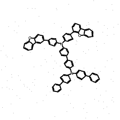 c1ccc(-c2ccc(N(c3ccc(-c4ccccc4)cc3)c3ccc(-c4ccc(N(c5ccc(-c6ccc7oc8ccccc8c7c6)cc5)c5ccc(-c6cccc7c6oc6ccccc67)cc5)cc4)cc3)cc2)cc1